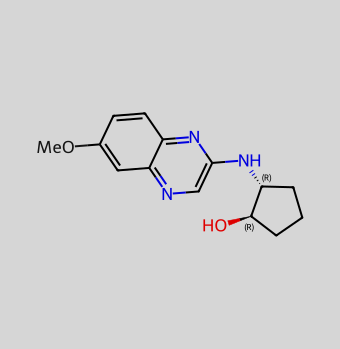 COc1ccc2nc(N[C@@H]3CCC[C@H]3O)cnc2c1